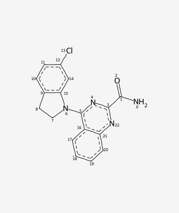 NC(=O)c1nc(N2CCc3ccc(Cl)cc32)c2c[c]ccc2n1